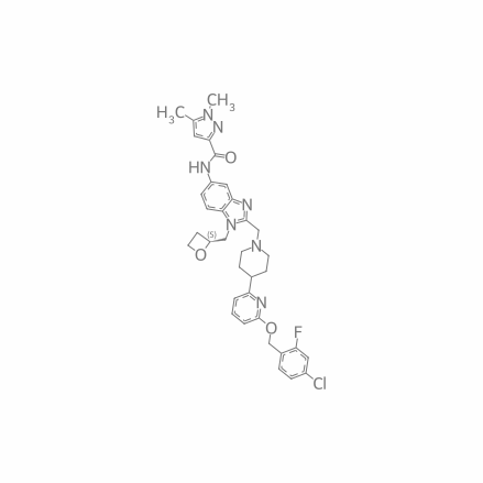 Cc1cc(C(=O)Nc2ccc3c(c2)nc(CN2CCC(c4cccc(OCc5ccc(Cl)cc5F)n4)CC2)n3C[C@@H]2CCO2)nn1C